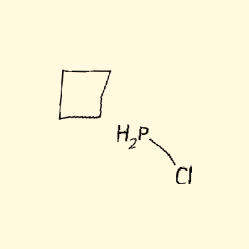 C1CCC1.PCl